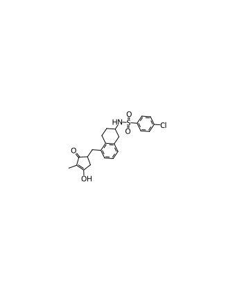 CC1=C(O)CC(Cc2cccc3c2CCC(NS(=O)(=O)c2ccc(Cl)cc2)C3)C1=O